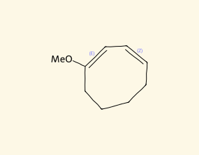 CO/C1=C/C=C\CCCC1